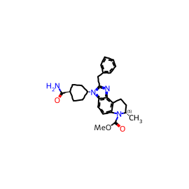 COC(=O)N1c2ccc3c(nc(Cc4ccccc4)n3[C@H]3CC[C@H](C(N)=O)CC3)c2CC[C@@H]1C